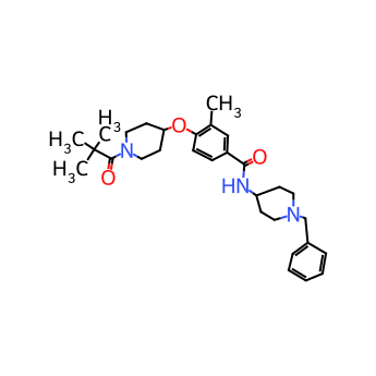 Cc1cc(C(=O)NC2CCN(Cc3ccccc3)CC2)ccc1OC1CCN(C(=O)C(C)(C)C)CC1